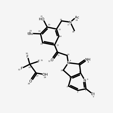 CCc1ccc2c(n1)C(=N)N(CC(=O)c1cc(CN(C)C(C)=O)c(O)c(C(C)(C)C)c1)C2.O=C(O)C(F)(F)F